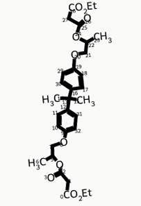 CCOC(=O)CC(=O)OC(C)COc1ccc(C(C)(C)c2ccc(OCC(C)OC(=O)CC(=O)OCC)cc2)cc1